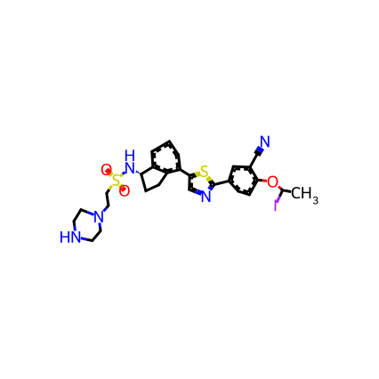 CC(I)Oc1ccc(-c2ncc(-c3cccc4c3CC[C@@H]4NS(=O)(=O)CCN3CCNCC3)s2)cc1C#N